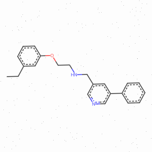 CCc1cccc(OCCNCc2cncc(-c3ccccc3)c2)c1